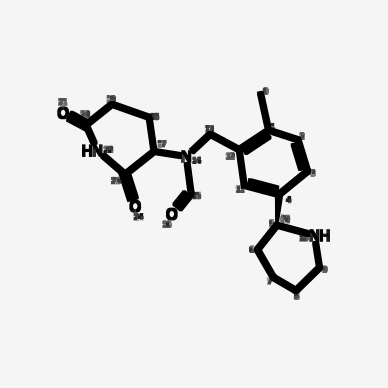 Cc1ccc([C@@H]2CCCCN2)cc1CN(C=O)C1CCC(=O)NC1=O